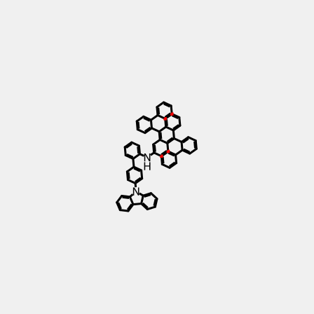 c1ccc(-c2ccccc2-c2c3ccccc3c(-c3ccccc3-c3ccccc3)c3cc(Nc4ccccc4-c4ccc(-n5c6ccccc6c6ccccc65)cc4)ccc23)cc1